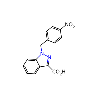 O=C(O)c1nn(Cc2ccc([N+](=O)[O-])cc2)c2ccccc12